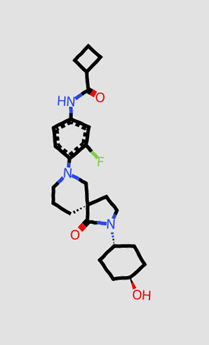 O=C(Nc1ccc(N2CCC[C@@]3(CCN([C@H]4CC[C@H](O)CC4)C3=O)C2)c(F)c1)C1CCC1